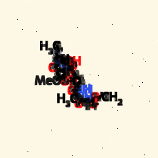 C=CCOC(=O)N[C@@H](C(=O)N[C@H](C)C(=O)Nc1ccc(COC(=O)N2c3cc(O)c(OC)cc3C(=O)N3C=C(/C=C/C)C[C@H]3[C@@H]2O)cc1)C(C)C